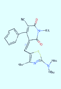 CCCCN(CCCC)c1nc(C(C)(C)C)c(/C=C2\C(=O)N(CC)C(=O)C(C#N)=C2c2ccccc2)s1